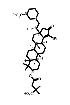 CCOC(=O)[C@@H]1CCCN(C[C@@H](O)[C@@]23CC[C@]4(C)[C@H](CC[C@@H]5[C@@]6(C)CC[C@H](OC(=O)CC(C)(C)C(=O)O)C(C)(C)[C@@H]6CC[C@]54C)C2=C(C(C)C)C(=O)C3)C1